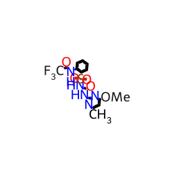 COc1cc(C)nc(NC(=O)NS(=O)(=O)c2ccccc2NC(=O)C(F)(F)F)n1